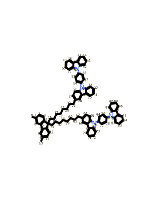 Cc1ccc2c(c1)-c1cc(C)ccc1C2(CCCCCCCCc1ccc2c(c1)c1ccccc1n2-c1ccc(-n2c3ccccc3c3ccccc32)cc1)CCCCCCCCc1ccc2c(c1)c1ccccc1n2-c1ccc(-n2c3ccccc3c3ccccc32)cc1